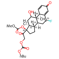 CCCCOC(=O)OCC(=O)[C@@]1(OC(=O)OC)CC[C@H]2[C@@H]3C[C@H](F)C4=CC(=O)C=C[C@]4(C)[C@H]3C(O)C[C@@]21C